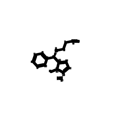 CNCCO[C@@H](c1ccccc1)c1ccnn1C.Cl